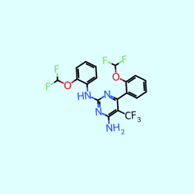 Nc1nc(Nc2ccccc2OC(F)F)nc(-c2ccccc2OC(F)F)c1C(F)(F)F